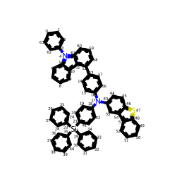 c1ccc(-n2c3ccccc3c3c(-c4ccc(N(c5ccc([Si](c6ccccc6)(c6ccccc6)c6ccccc6)cc5)c5ccc6sc7ccccc7c6c5)cc4)cccc32)cc1